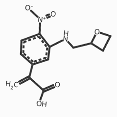 C=C(C(=O)O)c1ccc([N+](=O)[O-])c(NCC2CCO2)c1